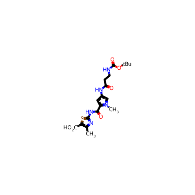 Cc1nc(NC(=O)c2cc(NC(=O)CCNC(=O)OC(C)(C)C)cn2C)sc1C(=O)O